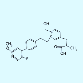 COc1cc(-c2ccc(CCc3cc(CC(C)C(=O)O)ccc3CO)cc2)c(F)cn1